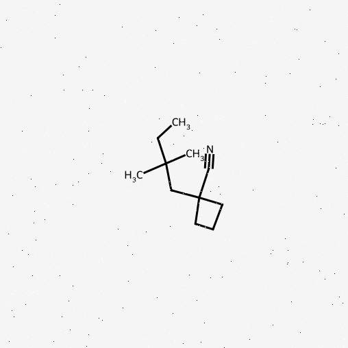 CCC(C)(C)CC1(C#N)CCC1